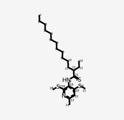 CCCCCCCCCCCCC(CC)C(=S)Nc1c(SC)cc(C)nc1SC